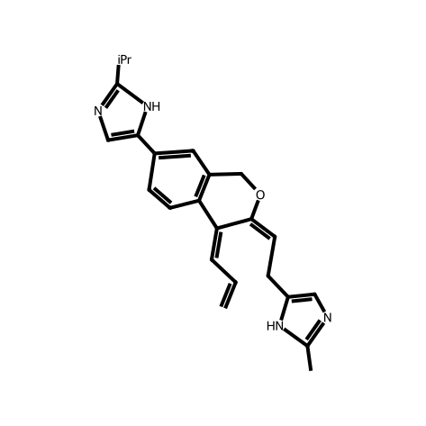 C=C/C=C1\C(=C/Cc2cnc(C)[nH]2)OCc2cc(-c3cnc(C(C)C)[nH]3)ccc21